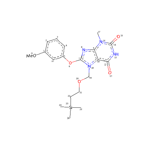 COc1cccc(Oc2nc3c(c(=O)[nH]c(=O)n3C)n2COCC[Si](C)(C)C)c1